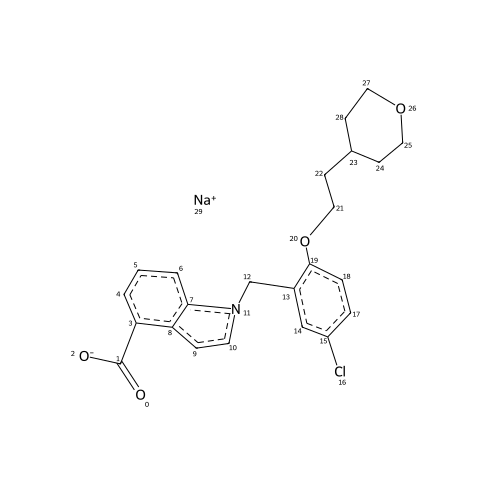 O=C([O-])c1cccc2c1ccn2Cc1cc(Cl)ccc1OCCC1CCOCC1.[Na+]